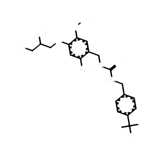 COc1cc(CNC(=O)NCc2ccc(C(F)(F)F)cc2)c(Br)cc1OCC(O)CO